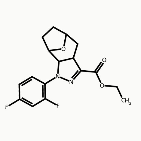 CCOC(=O)C1=NN(c2ccc(F)cc2F)C2C3CCC(CC12)O3